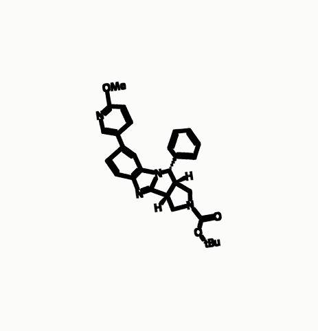 COc1ccc(-c2ccc3nc4n(c3c2)[C@H](c2ccccc2)[C@@H]2CN(C(=O)OC(C)(C)C)C[C@H]42)cn1